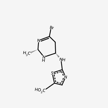 C[C@@H]1N=C(Br)C[C@H](Nc2ncc(C(=O)O)s2)N1